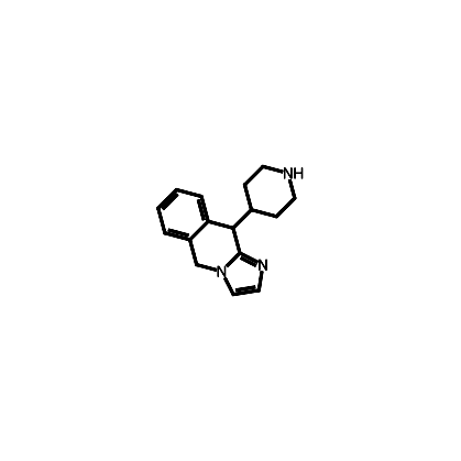 c1ccc2c(c1)Cn1ccnc1C2C1CCNCC1